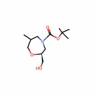 CC1CO[C@H](CO)CN(C(=O)OC(C)(C)C)C1